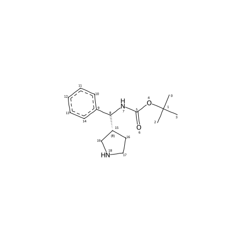 CC(C)(C)OC(=O)NC(c1ccccc1)[C@@H]1CCNC1